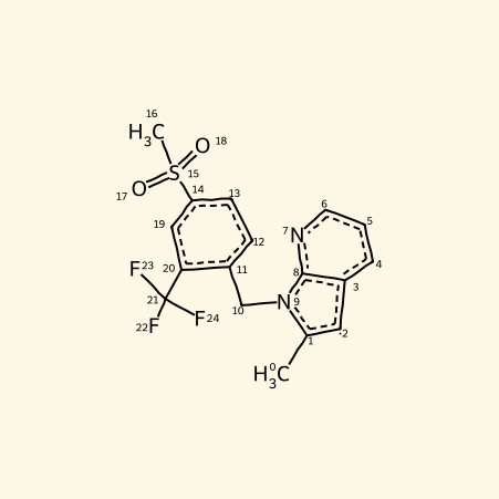 Cc1[c]c2cccnc2n1Cc1ccc(S(C)(=O)=O)cc1C(F)(F)F